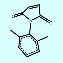 Cc1c[c]cc(C)c1N1C(=O)C=CC1=O